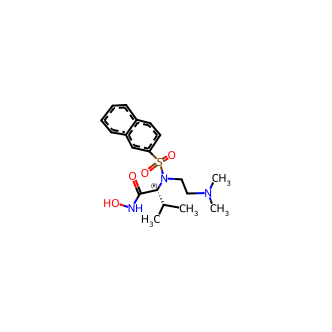 CC(C)[C@H](C(=O)NO)N(CCN(C)C)S(=O)(=O)c1ccc2ccccc2c1